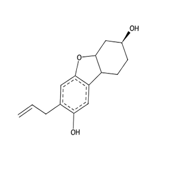 C=CCc1cc2c(cc1O)C1CC[C@H](O)CC1O2